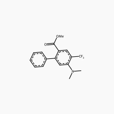 COC(=O)c1cc(C(F)(F)F)c(N(C)C)cc1-c1ccccc1